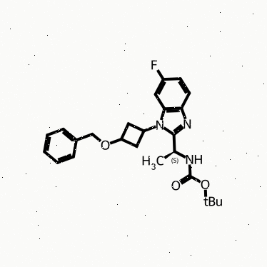 C[C@H](NC(=O)OC(C)(C)C)c1nc2ccc(F)cc2n1C1CC(OCc2ccccc2)C1